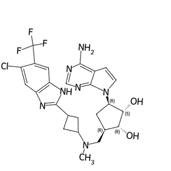 CN(C[C@H]1C[C@@H](n2ccc3c(N)ncnc32)[C@H](O)[C@@H]1O)C1CC(c2nc3cc(Cl)c(C(F)(F)F)cc3[nH]2)C1